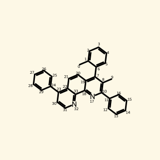 Cc1ccccc1-c1c(C)c(-c2ccccc2)nc2c1ccc1c(-c3ccccc3)ccnc12